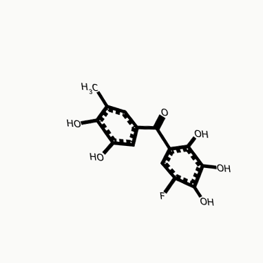 Cc1cc(C(=O)c2cc(F)c(O)c(O)c2O)cc(O)c1O